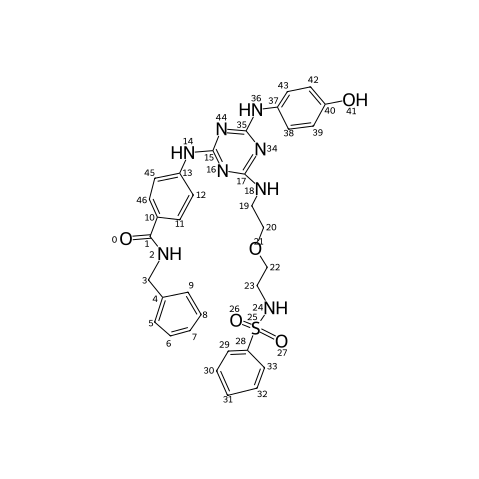 O=C(NCc1ccccc1)c1ccc(Nc2nc(NCCOCCNS(=O)(=O)c3ccccc3)nc(Nc3ccc(O)cc3)n2)cc1